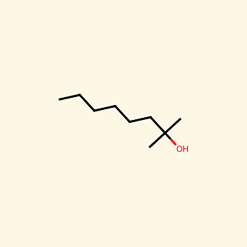 CCCCCCC(C)(C)O